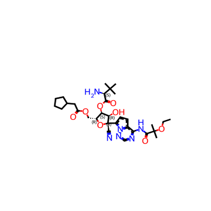 CCOC(C)(C)C(=O)Nc1ncnn2c([C@]3(C#N)O[C@H](COC(=O)CC4CCCC4)[C@@H](OC(=O)[C@@H](N)C(C)(C)C)[C@H]3O)ccc12